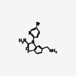 NCc1ccc(F)c(N(C(N)=O)c2ccc(Br)cn2)c1